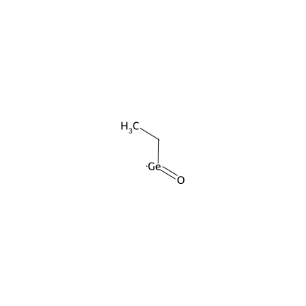 C[CH2][Ge]=[O]